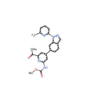 COC(=O)c1cc(-c2ccc3cnn(-c4cccc(C(F)(F)F)n4)c3c2)cc(NC(=O)OC(C)(C)C)n1